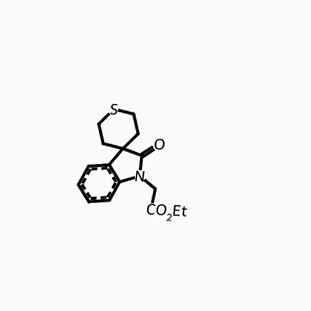 CCOC(=O)CN1C(=O)C2(CCSCC2)c2ccccc21